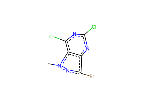 Cn1nc(Br)c2nc(Cl)nc(Cl)c21